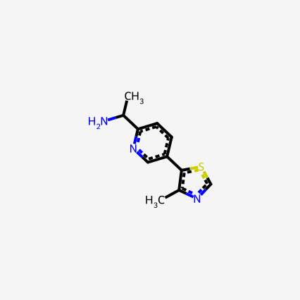 Cc1ncsc1-c1ccc(C(C)N)nc1